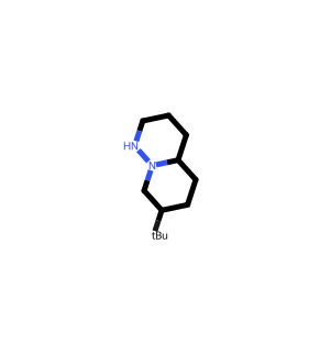 CC(C)(C)C1CCC2CCCNN2C1